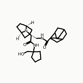 O=C(CN1[C@@H]2CC[C@H]1C[C@H](CNC(=O)C13CC4CC(CC1C4)C3)C2)NC1(CO)CCCC1